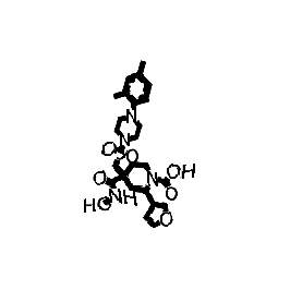 Cc1ccc(N2CCN(S(=O)(=O)CC3(C(=O)NO)CCN(C(=O)O)C(C4CCOC4)C3)CC2)c(C)c1